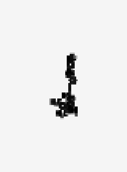 Cc1ccc(C(C)C)c(N2/C(=N/C(=S)NCCCCc3cccc(-c4ncn(-c5ccc(C(F)(F)F)cc5)n4)c3)SCC2O)c1